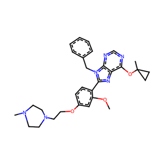 COc1cc(OCCN2CCN(C)CC2)ccc1-c1nc2c(OC3(C)CC3)ncnc2n1Cc1ccccc1